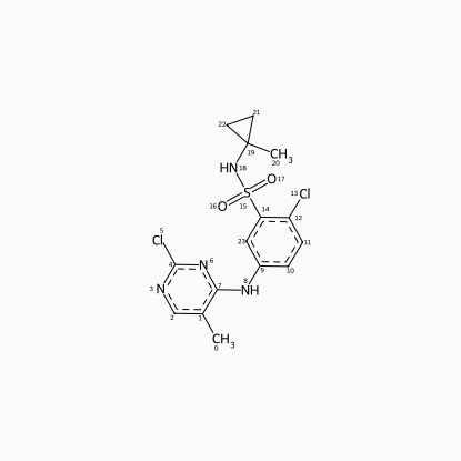 Cc1cnc(Cl)nc1Nc1ccc(Cl)c(S(=O)(=O)NC2(C)CC2)c1